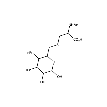 CCCCC1C(CSCC(NC(C)=O)C(=O)O)OC(O)C(O)C1O